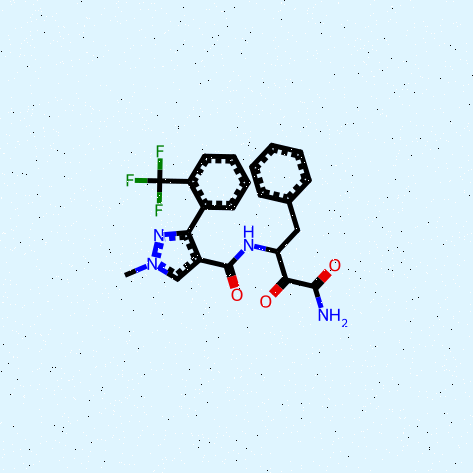 Cn1cc(C(=O)NC(Cc2ccccc2)C(=O)C(N)=O)c(-c2ccccc2C(F)(F)F)n1